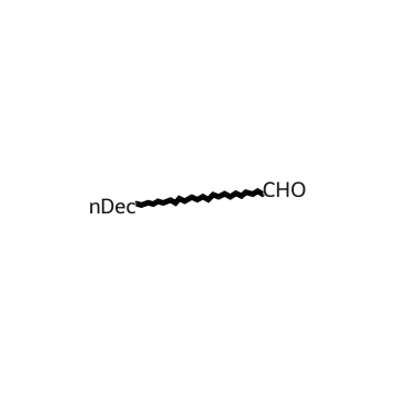 CCCCCCCCCCCCCCCCCCCCCCCCCCCCCCCCCCC=O